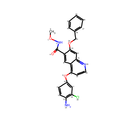 CONC(=O)c1cc2c(Oc3ccc(N)c(Cl)c3)ccnc2cc1OCc1ccccc1